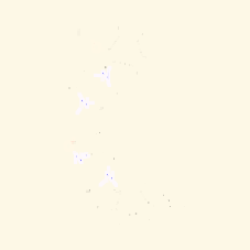 CC(C)Oc1ccccc1N1CCN(CC2CC(CN3CCc4ccc([N+](=O)[O-])cc43)=NO2)CC1